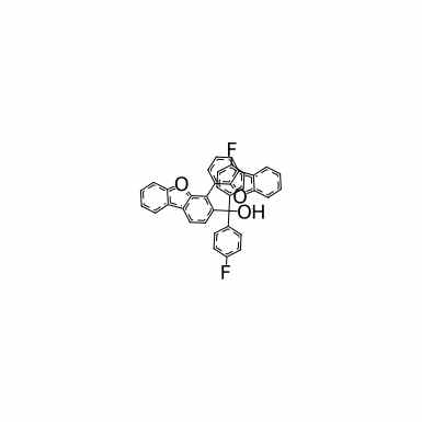 OC(c1ccc(F)cc1)(c1ccc(F)cc1)c1ccc2c(oc3ccccc32)c1-c1cccc2c1oc1ccccc12